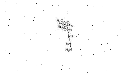 CC1=CC(=O)C(C(C)(C)CC(=O)NCCCNCCCCNCCCN)=C(C)C1=O